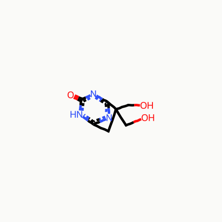 O=c1nc2nc([nH]1)CC2(CO)CO